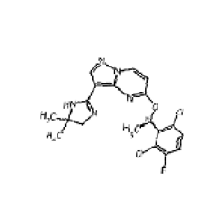 C[C@@H](Oc1ccn2ncc(C3=NCC(C)(C)N3)c2n1)c1c(Cl)ccc(F)c1Cl